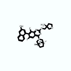 C[C@@]12CC[C@H](CN(c3nc(OCC4(N)CCOC4)nc4c(F)c(-c5cc(O)cc6ccccc56)c(F)cc34)C1)N2